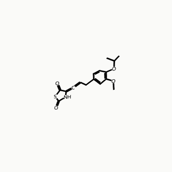 COc1cc(CC=C=C2NC(=O)SC2=O)ccc1OC(C)C